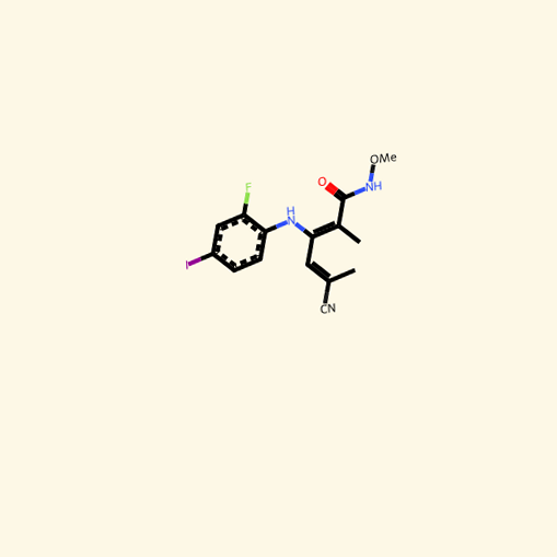 CONC(=O)/C(C)=C(/C=C(\C)C#N)Nc1ccc(I)cc1F